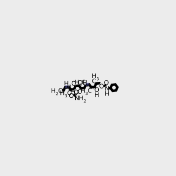 C=C/C=C\[C@H](C)C(OC(N)=O)C(C)C(O)C(C)C/C(C)=C\[C@H](C)[C@@H](O)[C@@H](C)COC(=O)NC1CCCCC1